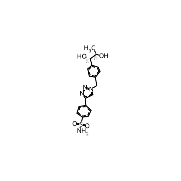 C[C@@H](O)[C@@H](O)c1ccc(Cn2cc(-c3ccc(S(N)(=O)=O)cc3)nn2)cc1